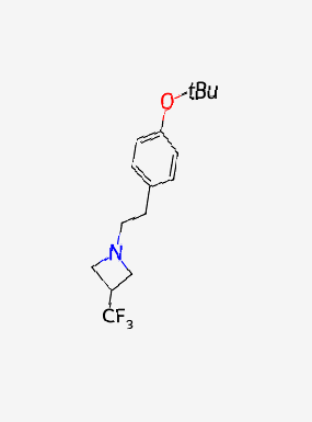 CC(C)(C)Oc1ccc(CCN2CC(C(F)(F)F)C2)cc1